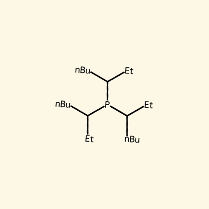 CCCCC(CC)P(C(CC)CCCC)C(CC)CCCC